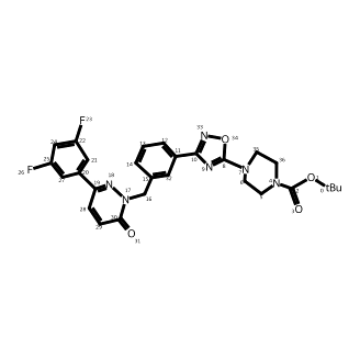 CC(C)(C)OC(=O)N1CCN(c2nc(-c3cccc(Cn4nc(-c5cc(F)cc(F)c5)ccc4=O)c3)no2)CC1